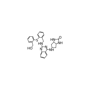 O=C1NC2CC(Nc3nc(NCc4ccccc4Sc4ccccc4CO)nc4ccccc34)CC2N1